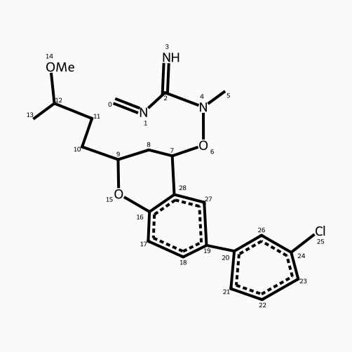 C=NC(=N)N(C)OC1CC(CCC(C)OC)Oc2ccc(-c3cccc(Cl)c3)cc21